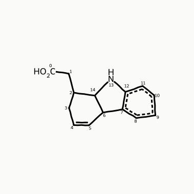 O=C(O)CC1CC=CC2c3ccccc3NC12